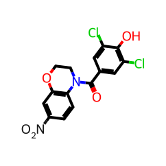 O=C(c1cc(Cl)c(O)c(Cl)c1)N1CCOc2cc([N+](=O)[O-])ccc21